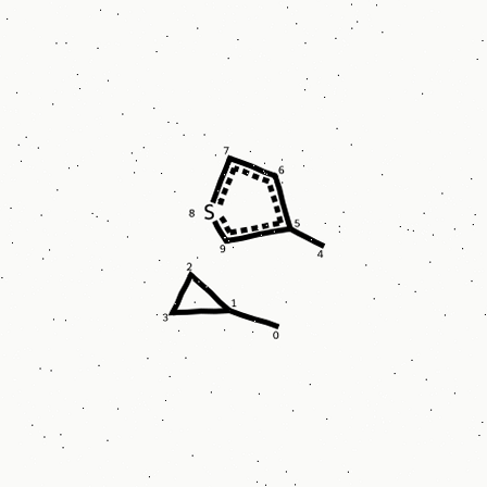 CC1CC1.Cc1ccsc1